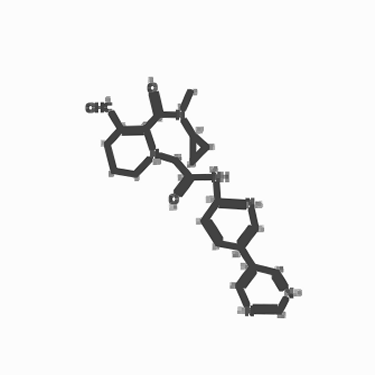 CN(C(=O)C1=C(C=O)CCCN1CC(=O)Nc1ccc(-c2cncnc2)cn1)C1CC1